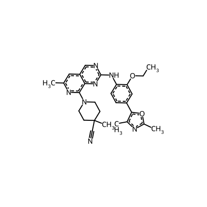 CCOc1cc(-c2oc(C)nc2C)ccc1Nc1ncc2cc(C)nc(N3CCC(C)(C#N)CC3)c2n1